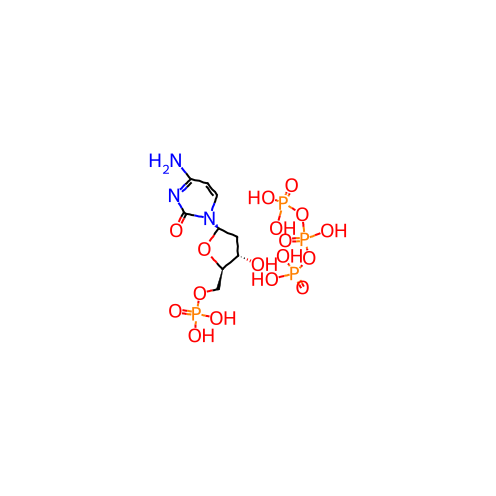 Nc1ccn([C@H]2C[C@H](O)[C@@H](COP(=O)(O)O)O2)c(=O)n1.O=P(O)(O)OP(=O)(O)OP(=O)(O)O